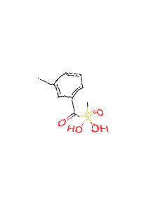 Cc1cccc(C(=O)S(C)(=O)(O)O)c1